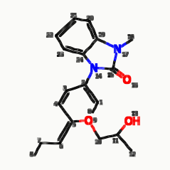 C\C=C(/C=C\C(=C/CC)OCC(C)O)n1c(=O)n(C)c2ccccc21